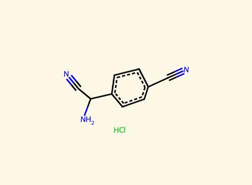 Cl.N#Cc1ccc(C(N)C#N)cc1